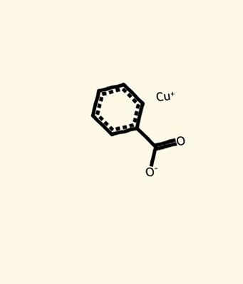 O=C([O-])c1ccccc1.[Cu+]